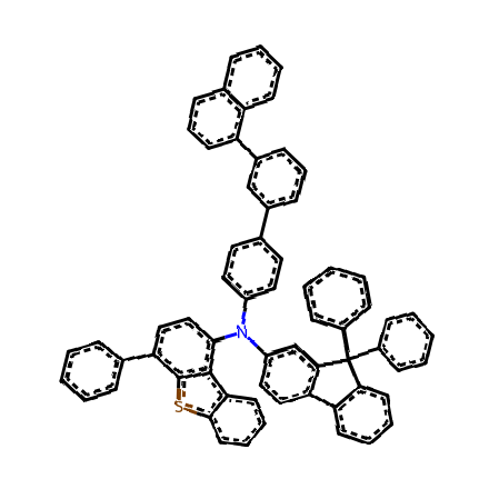 c1ccc(-c2ccc(N(c3ccc(-c4cccc(-c5cccc6ccccc56)c4)cc3)c3ccc4c(c3)C(c3ccccc3)(c3ccccc3)c3ccccc3-4)c3c2sc2ccccc23)cc1